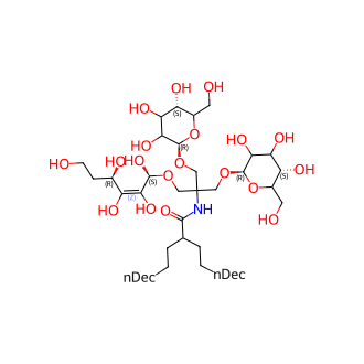 CCCCCCCCCCCCC(CCCCCCCCCCCC)C(=O)NC(CO[C@@H]1OC(CO)[C@@H](O)C(O)C1O)(CO[C@@H]1OC(CO)[C@@H](O)C(O)C1O)CO[C@H](O)/C(O)=C(/O)[C@H](O)CCO